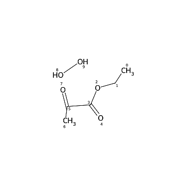 CCOC(=O)C(C)=O.OO